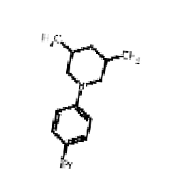 CC1CC(C)CN(c2ccc(C(C)C)cc2)C1